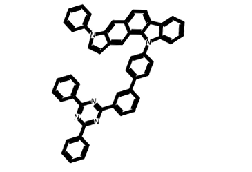 c1ccc(-c2nc(-c3ccccc3)nc(-c3cccc(-c4ccc(-n5c6ccccc6c6ccc7cc8c(ccn8-c8ccccc8)cc7c65)cc4)c3)n2)cc1